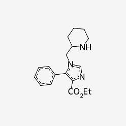 CCOC(=O)c1ncn(CC2CCCCN2)c1-c1ccccc1